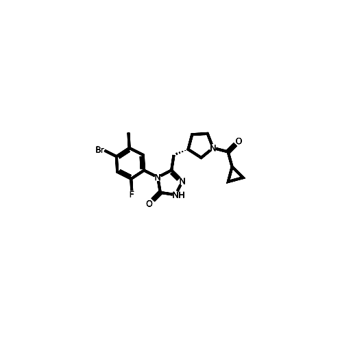 Cc1cc(-n2c(C[C@@H]3CCN(C(=O)C4CC4)C3)n[nH]c2=O)c(F)cc1Br